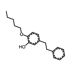 CCCCCOc1ccc(CCc2ccccc2)cc1O